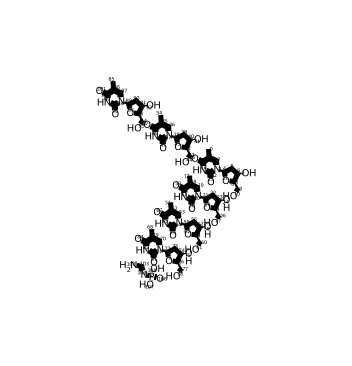 Cc1cn([C@H]2C[C@H](O)[C@@H](CO)O2)c(=O)[nH]c1=O.Cc1cn([C@H]2C[C@H](O)[C@@H](CO)O2)c(=O)[nH]c1=O.Cc1cn([C@H]2C[C@H](O)[C@@H](CO)O2)c(=O)[nH]c1=O.Cc1cn([C@H]2C[C@H](O)[C@@H](CO)O2)c(=O)[nH]c1=O.Cc1cn([C@H]2C[C@H](O)[C@@H](CO)O2)c(=O)[nH]c1=O.Cc1cn([C@H]2C[C@H](O)[C@@H](CO)O2)c(=O)[nH]c1=O.NC=NP(=O)(O)O